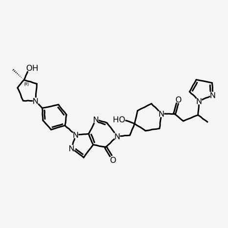 CC(CC(=O)N1CCC(O)(Cn2cnc3c(cnn3-c3ccc(N4CC[C@@](C)(O)C4)cc3)c2=O)CC1)n1cccn1